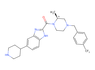 C[C@H]1CN(Cc2ccc(C(F)(F)F)cc2)CCN1C(=O)c1nc2cc(C3CCNCC3)ccc2[nH]1